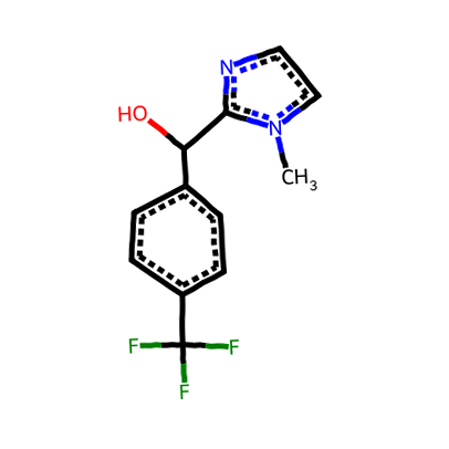 Cn1ccnc1C(O)c1ccc(C(F)(F)F)cc1